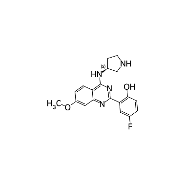 COc1ccc2c(N[C@H]3CCNC3)nc(-c3cc(F)ccc3O)nc2c1